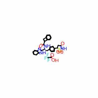 O=C(O)C(F)(F)F.O=C1CC(c2ccc(C[C@H](NC(=O)C3Cc4ccccc43)c3nc4ccccc4[nH]3)cc2)S(=O)(=O)N1